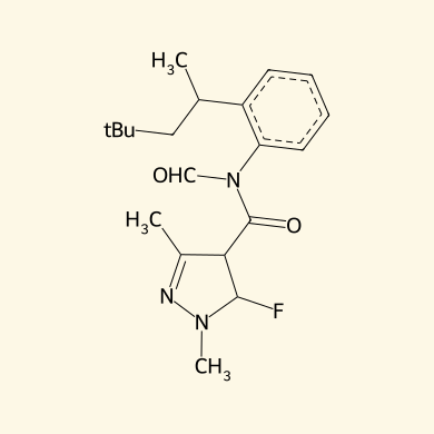 CC1=NN(C)C(F)C1C(=O)N(C=O)c1ccccc1C(C)CC(C)(C)C